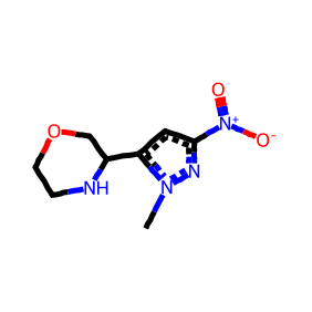 Cn1nc([N+](=O)[O-])cc1C1COCCN1